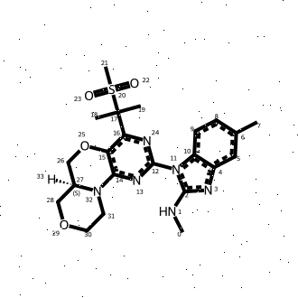 CNc1nc2cc(C)ccc2n1-c1nc2c(c(C(C)(C)S(C)(=O)=O)n1)OC[C@@H]1COCCN21